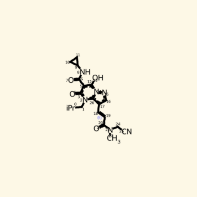 CC(C)Cn1c(=O)c(C(=O)NC2CC2)c(O)n2ncc(/C=C/C(=O)N(C)CC#N)c12